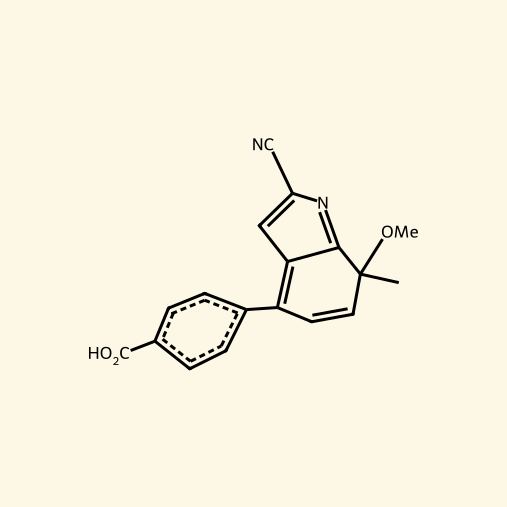 COC1(C)C=CC(c2ccc(C(=O)O)cc2)=C2C=C(C#N)N=C21